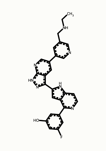 CCNCc1cncc(-c2cnc3[nH]nc(-c4cc5c(-c6cc(O)cc(F)c6)nccc5[nH]4)c3c2)c1